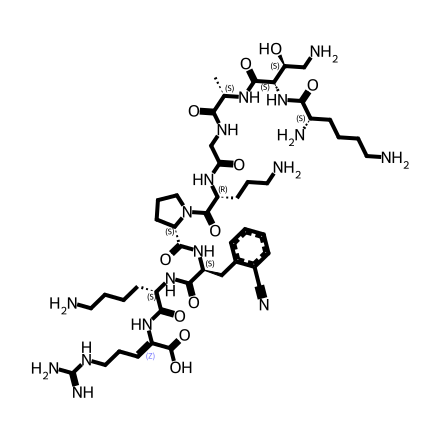 C[C@H](NC(=O)[C@@H](NC(=O)[C@@H](N)CCCCN)[C@@H](O)CN)C(=O)NCC(=O)N[C@H](CCCN)C(=O)N1CCC[C@H]1C(=O)N[C@@H](Cc1ccccc1C#N)C(=O)N[C@@H](CCCCN)C(=O)N/C(=C\CCNC(=N)N)C(=O)O